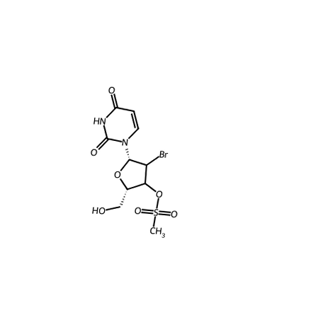 CS(=O)(=O)OC1C(Br)[C@@H](n2ccc(=O)[nH]c2=O)O[C@H]1CO